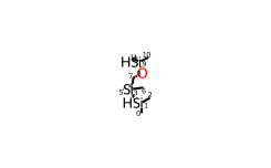 C[SiH](C)C[Si](C)(C)CO[SiH](C)C